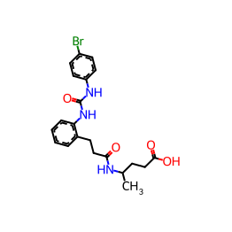 CC(CCC(=O)O)NC(=O)CCc1ccccc1NC(=O)Nc1ccc(Br)cc1